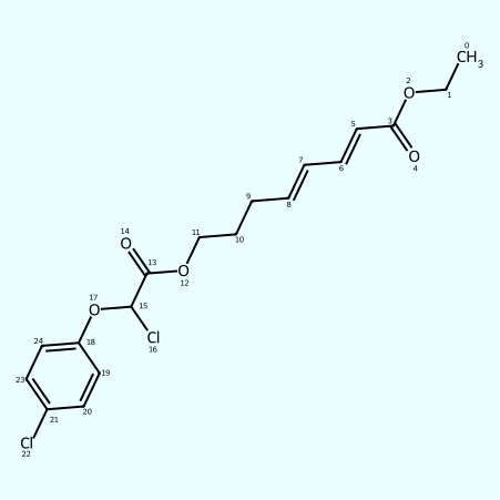 CCOC(=O)C=CC=CCCCOC(=O)C(Cl)Oc1ccc(Cl)cc1